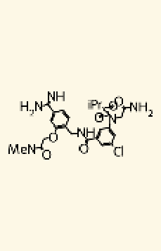 CNC(=O)COc1cc(C(=N)N)ccc1CNC(=O)c1cc(Cl)cc(N(CC(N)=O)S(=O)(=O)C(C)C)c1